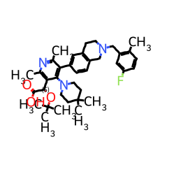 Cc1ccc(F)cc1CN1CCc2cc(-c3c(C)nc(C)c([C@H](OC(C)(C)C)C(=O)O)c3N3CCC(C)(C)CC3)ccc2C1